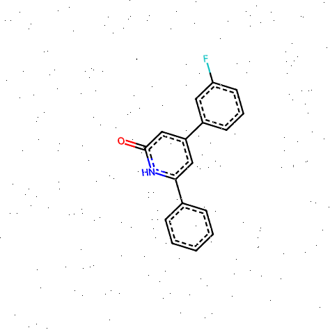 O=c1cc(-c2cccc(F)c2)cc(-c2ccccc2)[nH]1